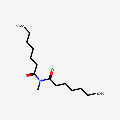 CCCCCCCCCCCCCCCC(=O)N(C)C(=O)CCCCCCCCCCCCCCC